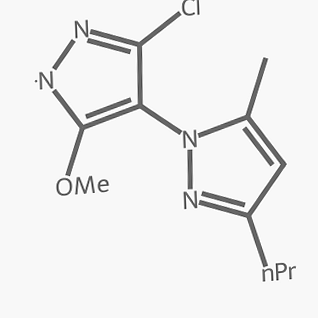 CCCc1cc(C)n(C2=C(OC)[N]N=C2Cl)n1